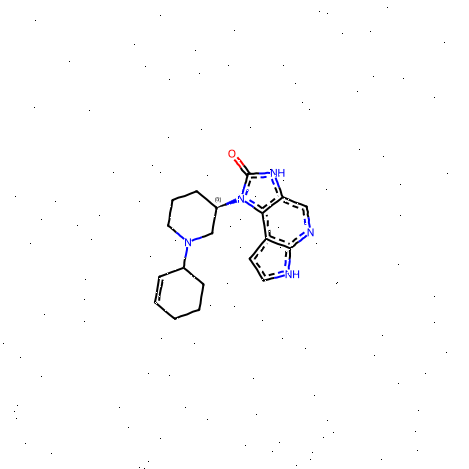 O=c1[nH]c2cnc3[nH]ccc3c2n1[C@@H]1CCCN(C2C=CCCC2)C1